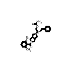 Cc1cccc(C)c1C(=O)N1CC2CN([C@@H](C[CH]c3ccccc3)COC(N)=O)CC2C1